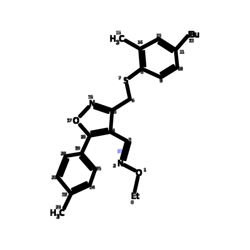 CCO/N=C/c1c(CSc2ccc(C(C)CC)cc2C)noc1-c1ccc(C)cc1